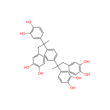 CC(Cc1ccc(O)c(O)c1)(c1ccc(C(C)(Cc2ccc(O)c(O)c2)c2ccc(O)c(O)c2)cc1)c1ccc(O)c(O)c1